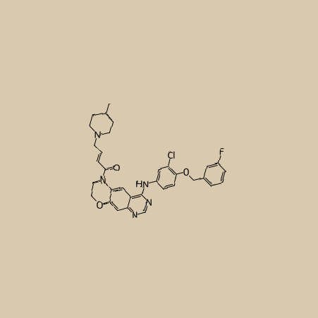 CC1CCN(C/C=C/C(=O)N2CCOc3cc4ncnc(Nc5ccc(OCc6cccc(F)c6)c(Cl)c5)c4cc32)CC1